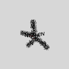 N#Cc1cccc(-c2c(-n3c4ccc(-c5ccc(-c6ccccc6)nc5)cc4c4cc(-c5ccc(-c6ccccc6)nc5)ccc43)cc(C#N)cc2-n2c3ccc(-c4ccc(-c5ccccc5)nc4)cc3c3cc(-c4ccc(-c5ccccc5)nc4)ccc32)c1